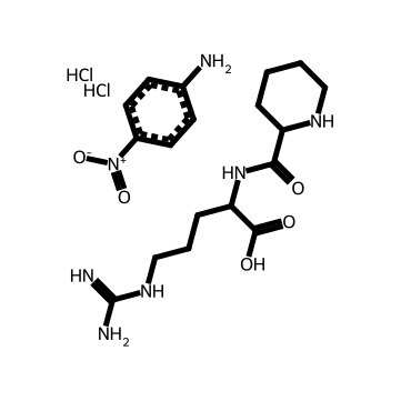 Cl.Cl.N=C(N)NCCCC(NC(=O)C1CCCCN1)C(=O)O.Nc1ccc([N+](=O)[O-])cc1